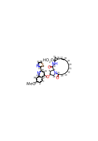 COc1ccc2c(OC3CC4C(=O)NC5(C(=O)O)CC5C=CCCCCCCC(=O)N4C3)cc(-c3nccs3)nc2c1